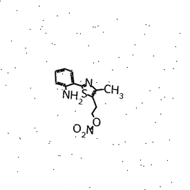 Cc1nc(-c2ccccc2N)sc1CCO[N+](=O)[O-]